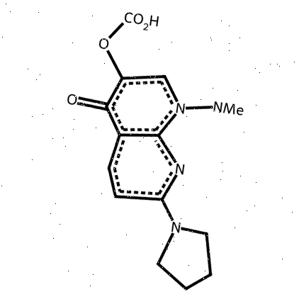 CNn1cc(OC(=O)O)c(=O)c2ccc(N3CCCC3)nc21